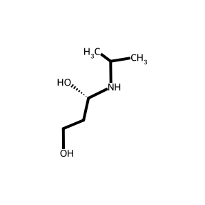 CC(C)N[C@@H](O)CCO